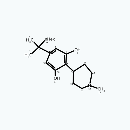 CCCCCCC(C)(C)c1cc(O)c(C2CCN(C)CC2)c(O)c1